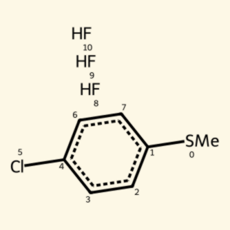 CSc1ccc(Cl)cc1.F.F.F